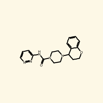 O=C(Nc1cccnn1)N1CCN(C2CCOc3ccccc32)CC1